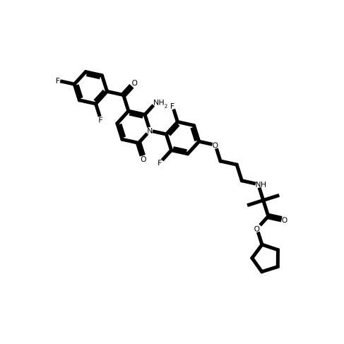 CC(C)(NCCCOc1cc(F)c(-n2c(N)c(C(=O)c3ccc(F)cc3F)ccc2=O)c(F)c1)C(=O)OC1CCCC1